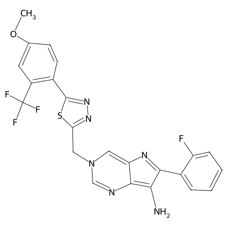 COc1ccc(-c2nnc(Cn3cnc4c(N)c(-c5ccccc5F)nc-4c3)s2)c(C(F)(F)F)c1